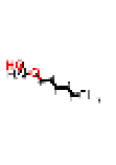 CCCCCC[O][AlH][OH]